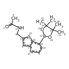 CC(=O)NCc1cc2nccc(B3OC(C)(C)C(C)(C)O3)c2s1